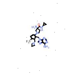 Nc1ncnc2c1ncn2Cc1c(N2CCC(N)(C(=O)NC3CC3)C2)ccc(C(F)(F)F)c1CN1CCC1